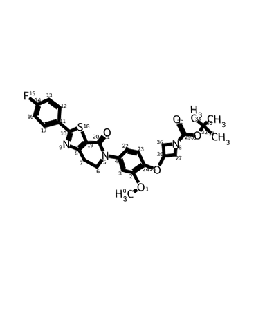 COc1cc(N2CCc3nc(-c4ccc(F)cc4)sc3C2=O)ccc1OC1CN(C(=O)OC(C)(C)C)C1